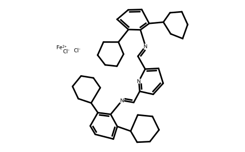 C(=Nc1c(C2CCCCC2)cccc1C1CCCCC1)c1cccc(C=Nc2c(C3CCCCC3)cccc2C2CCCCC2)n1.[Cl-].[Cl-].[Fe+2]